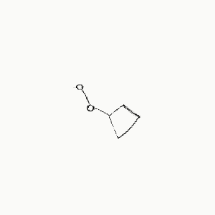 [O]OC1CCC1